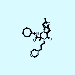 Cc1cc2c(cc3n2CC(C)(C(=O)NC2CCCCCC2)N(CCCN2CCOCC2)C3=O)o1